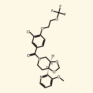 COc1cccnc1[C@]12CCN(C(=O)c3ccc(OCCOC(F)(F)F)c(Cl)c3)C[C@H]1OCO2